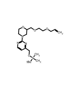 C=CCOCCOCC1CN(c2nccc(CO[Si](C)(C)C(C)(C)C)n2)CCO1